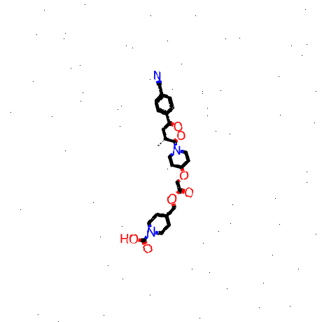 C[C@H](CC(=O)c1ccc(C#N)cc1)C(=O)N1CCC(OCC(=O)OCC2CCN(C(=O)O)CC2)CC1